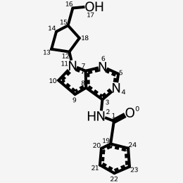 O=C(Nc1ncnc2c1ccn2C1CCC(CO)C1)c1ccccc1